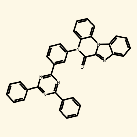 O=c1c2nc3ccccc3n2c2ccccc2n1-c1cccc(-c2nc(-c3ccccc3)nc(-c3ccccc3)n2)c1